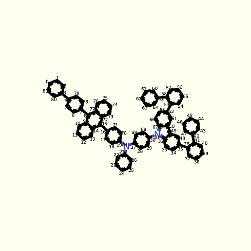 c1ccc(-c2ccc(-c3c4ccccc4c(-c4ccc(N(c5ccccc5)c5ccc(-n6c7ccc(-c8ccccc8-c8ccccc8)cc7c7cc(-c8ccccc8-c8ccccc8)ccc76)cc5)cc4)c4ccccc34)cc2)cc1